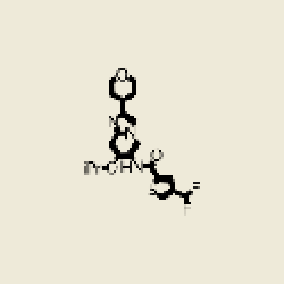 CC(C)Oc1cc2nc(C3CCOCC3)cn2cc1NC(=O)c1cc(C(F)F)cs1